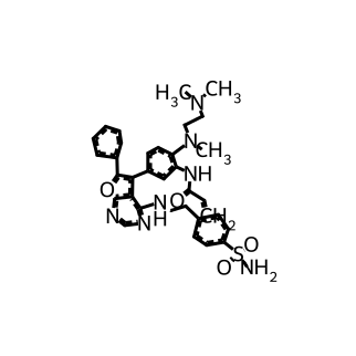 C=CC(=O)Nc1cc(-c2c(-c3ccccc3)oc3ncnc(NCCc4ccc(S(N)(=O)=O)cc4)c23)ccc1N(C)CCN(C)C